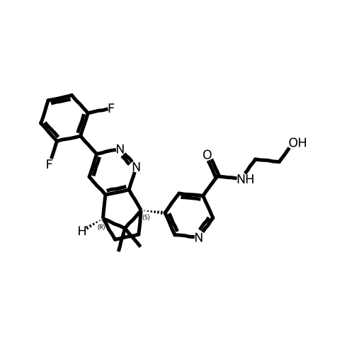 CC1(C)[C@H]2CC[C@]1(c1cncc(C(=O)NCCO)c1)c1nnc(-c3c(F)cccc3F)cc12